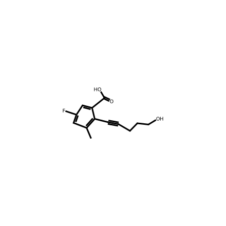 Cc1cc(F)cc(C(=O)O)c1C#CCCCO